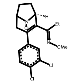 CCC(=NOC)C1=C(c2ccc(Cl)c(Cl)c2)CC2CC[C@@H]1N2C